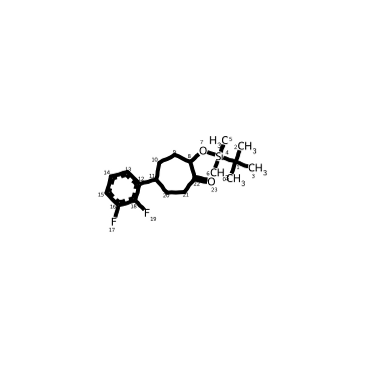 CC(C)(C)[Si](C)(C)OC1CCC(c2cccc(F)c2F)CCC1=O